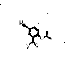 COC(=O)c1cc(C#N)ccc1OC(C)C